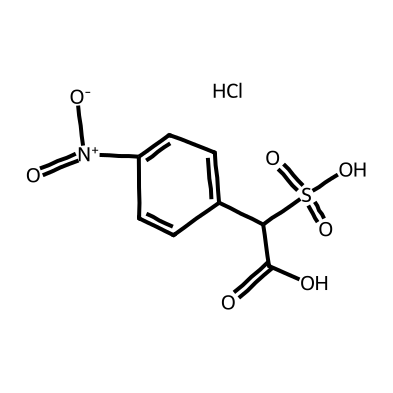 Cl.O=C(O)C(c1ccc([N+](=O)[O-])cc1)S(=O)(=O)O